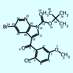 COc1ccc(Cl)c(C(=O)c2cn(C(=O)OC(C)(C)C)c3ncc(Br)cc23)c1